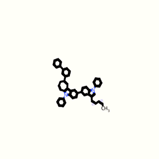 C/C=C\C=C/c1cn(-c2ccccc2)c2ccc(-c3ccc4c(c3)c3c(n4-c4ccccc4)C=CCC(c4cccc(-c5ccccc5)c4)=C3)cc12